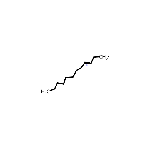 [CH2]C/C=C/CCCCCC[CH]C